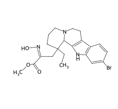 CCC1(CC(=NO)C(=O)OC)CCCN2CCc3c([nH]c4cc(Br)ccc34)C21